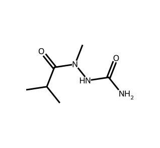 CC(C)C(=O)N(C)NC(N)=O